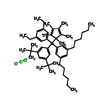 CCCCCCc1cc(CCCCCC)cc([Si](c2cc(CC)cc(CC)c2)(c2cc(C(C)(C)C)cc(C(C)(C)C)c2)C2(C)C(C)=C(C)C(C)=[C]2[Ti+3])c1.[Cl-].[Cl-].[Cl-]